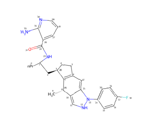 CCCC(C[C@H]1CCC2=C1[C@@H](C)C1=CNN(c3ccc(F)cc3)C1=C2)NC(=O)c1cccnc1N